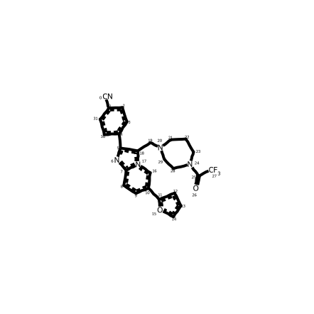 N#Cc1ccc(-c2nc3ccc(-c4ccco4)cn3c2CN2CCCN(C(=O)C(F)(F)F)CC2)cc1